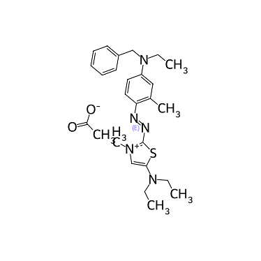 CC(=O)[O-].CCN(Cc1ccccc1)c1ccc(/N=N/c2sc(N(CC)CC)c[n+]2C)c(C)c1